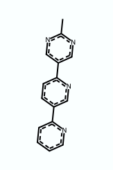 Cc1ncc(-c2ccc(-c3ccccn3)cn2)cn1